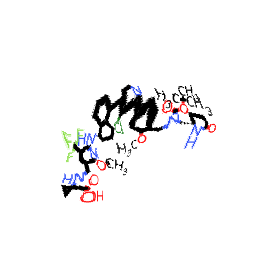 COc1cc(-c2nccc(-c3cccc4c3CCC[C@@H]4Nc3nc(OC)c(CNC4(C(=O)O)CC4)cc3C(F)(F)F)c2Cl)ccc1CN(C[C@@H]1CCC(=O)N1)C(=O)OC(C)(C)C